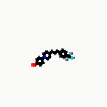 Oc1ccc(N2CCC(CCCc3ccc(C(F)(F)F)cc3)CC2)cc1